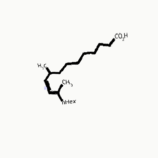 CCCCCCC(C)/C=C\C(C)CCCCCCCC(=O)O